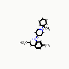 Cc1ccc(CCC(=O)O)c(NC2CCN(C3(C)CCCCC3)CC2)c1